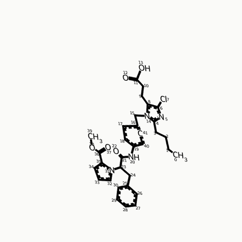 CCCCc1nc(Cl)c(CCC(=O)O)n1Cc1ccc(NC(=O)C(Cc2ccccc2)n2cccc2C(=O)OC)cc1